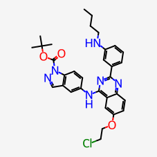 CCCCNc1cccc(-c2nc(Nc3ccc4c(cnn4C(=O)OC(C)(C)C)c3)c3cc(OCCCl)ccc3n2)c1